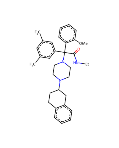 CCNC(=O)C(c1cc(C(F)(F)F)cc(C(F)(F)F)c1)(c1ccccc1OC)N1CCN(C2CCc3ccccc3C2)CC1